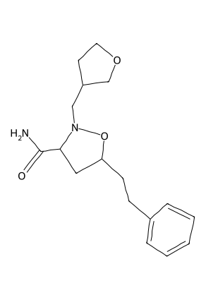 NC(=O)C1CC(CCc2ccccc2)ON1CC1CCOC1